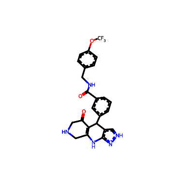 O=C1CNCC2=C1C(c1cccc(C(=O)NCc3ccc(OC(F)(F)F)cc3)c1)c1c[nH]nc1N2